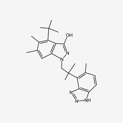 Cc1cc2c(c(O)nn2CC(C)(C)c2c(C)ccc3[nH]nnc23)c(C(C)(C)C)c1C